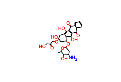 CC1OC(O[C@H]2C[C@@](O)(OCC(=O)CO)Cc3c(O)c4c(c(O)c32)C(=O)c2ccccc2C4=O)CC(N)C1O